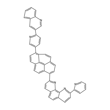 c1ccc(-c2ccc3ccc4ccc(-c5ccc6ccc7c(-c8ccc(-c9cnc%10ccccc%10c9)nc8)ccc8ccc5c6c87)nc4c3n2)nc1